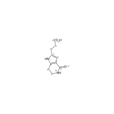 O=C(O)CCc1cc2c([nH]1)CCNC2=O